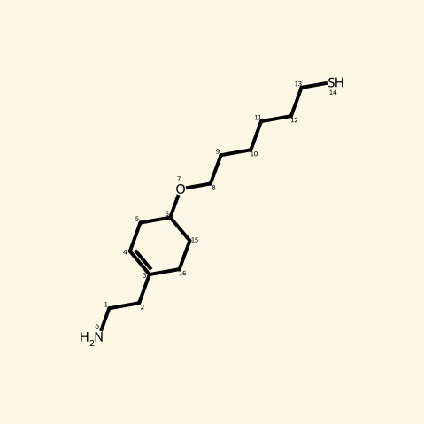 NCCC1=CCC(OCCCCCCS)CC1